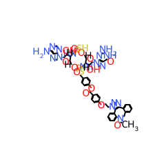 CC(=O)N1Cc2ccccc2-c2nnn(CCOc3ccc(C(=O)Oc4ccc(CS[P@]5(=O)N[C@H]6[C@@H](O)[C@H](n7cnc8c(=O)[nH]c(N)nc87)O[C@@H]6CO[P@@](=O)(S)N[C@@H]6[C@@H](O)[C@H](n7cnc8c(N)ncnc87)O[C@@H]6CO5)cc4)cc3)c2-c2ccccc21